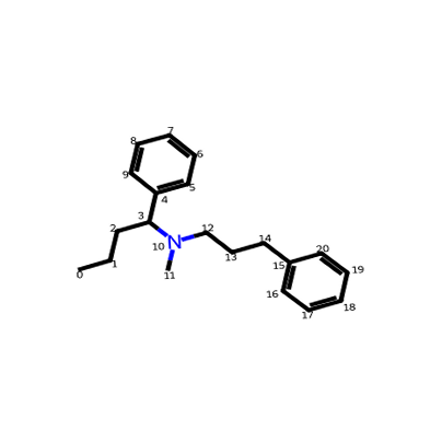 CCCC(c1ccccc1)N(C)CCCc1ccccc1